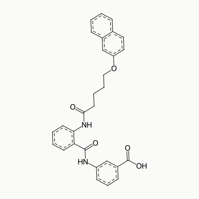 O=C(CCCCOc1ccc2ccccc2c1)Nc1ccccc1C(=O)Nc1cccc(C(=O)O)c1